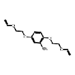 C=COCCOc1ccc(OCCOC=C)c(C(C)(C)C)c1